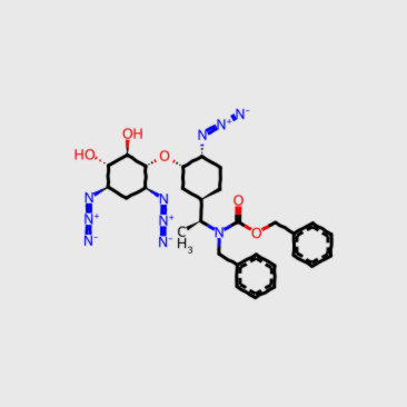 C[C@@H]([C@@H]1CC[C@@H](N=[N+]=[N-])[C@@H](O[C@H]2[C@H](O)[C@@H](O)[C@H](N=[N+]=[N-])C[C@@H]2N=[N+]=[N-])C1)N(Cc1ccccc1)C(=O)OCc1ccccc1